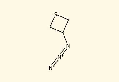 [N-]=[N+]=NC1CSC1